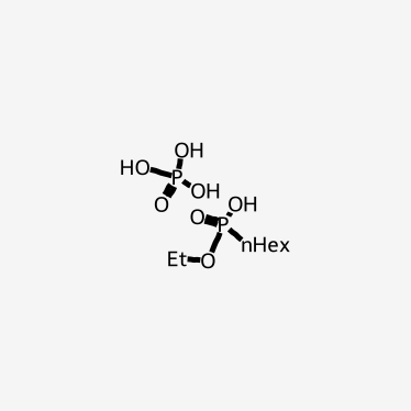 CCCCCCP(=O)(O)OCC.O=P(O)(O)O